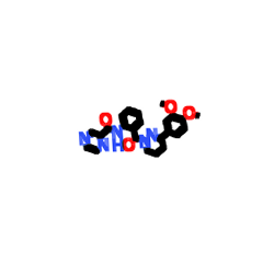 COc1ccc(C2=NN(C(=O)c3ccccc3NC(=O)c3cnccn3)CCC2)cc1OC